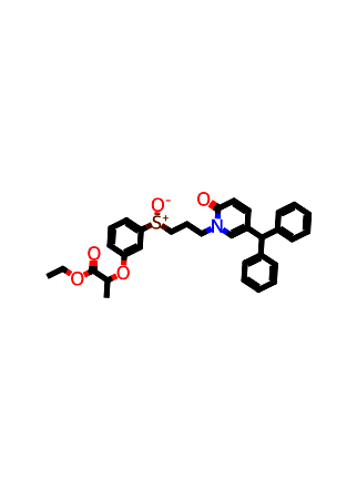 CCOC(=O)C(C)Oc1cccc([S+]([O-])CCCn2cc(C(c3ccccc3)c3ccccc3)ccc2=O)c1